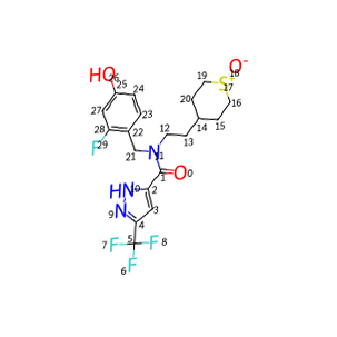 O=C(c1cc(C(F)(F)F)n[nH]1)N(CCC1CC[S+]([O-])CC1)Cc1ccc(O)cc1F